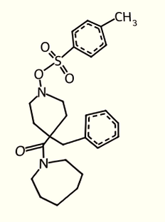 Cc1ccc(S(=O)(=O)ON2CCC(Cc3ccccc3)(C(=O)N3CCCCCC3)CC2)cc1